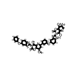 COc1ccnc2c(=O)n(-c3nc4cc(Oc5cccc(-c6cc(OI)c7oc(=S)n(-c8nc9ccc(Oc%10ccccc%10)cc9s8)c(=O)c7n6)c5)ccc4[nH]3)c(=S)oc12